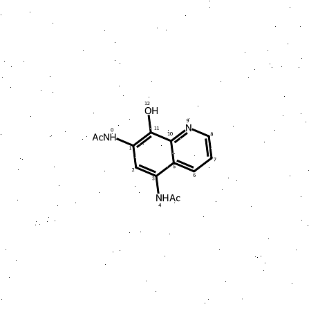 CC(=O)Nc1cc(NC(C)=O)c2cccnc2c1O